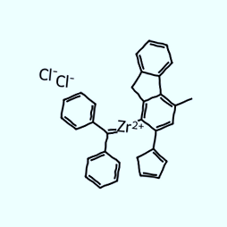 Cc1cc(C2=CC=CC2)[c]([Zr+2]=[C](c2ccccc2)c2ccccc2)c2c1-c1ccccc1C2.[Cl-].[Cl-]